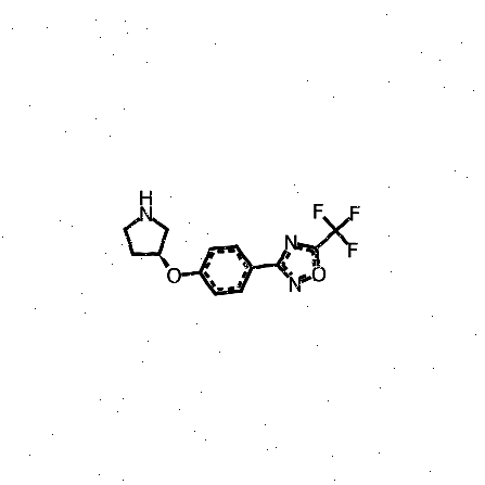 FC(F)(F)c1nc(-c2ccc(O[C@H]3CCNC3)cc2)no1